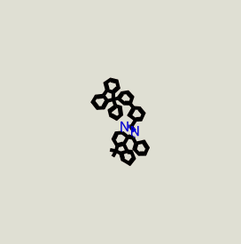 CC1(C)c2ccccc2-c2c1ccc1nc(-c3cccc(-c4cccc(C5(c6ccccc6)c6ccccc6-c6ccccc65)c4)c3)nc(-c3ccccc3)c21